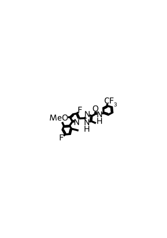 COc1cc(F)c(-c2nc(C(=O)Nc3cccc(C(F)(F)F)c3)c(C)[nH]2)nc1-c1c(C)cc(F)cc1C